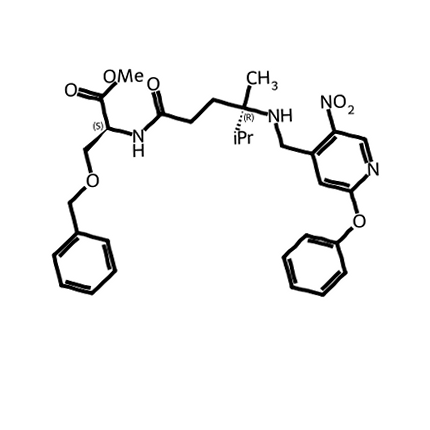 COC(=O)[C@H](COCc1ccccc1)NC(=O)CC[C@@](C)(NCc1cc(Oc2ccccc2)ncc1[N+](=O)[O-])C(C)C